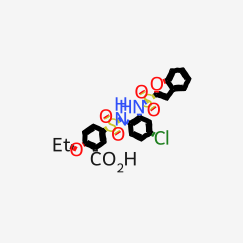 CCOc1ccc(S(=O)(=O)Nc2ccc(Cl)cc2NS(=O)(=O)c2cc3ccccc3o2)cc1C(=O)O